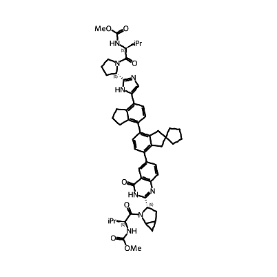 COC(=O)N[C@H](C(=O)N1CCC[C@H]1c1ncc(-c2ccc(-c3ccc(-c4ccc5nc([C@@H]6CC7CC7N6C(=O)[C@@H](NC(=O)OC)C(C)C)[nH]c(=O)c5c4)c4c3CC3(CCCC3)C4)c3c2CCC3)[nH]1)C(C)C